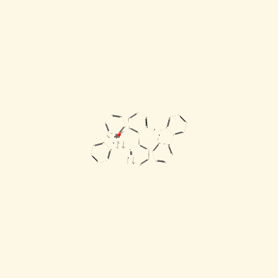 N#Cc1cccc(-n2c3ccccc3c3ccccc32)c1-c1cccnc1-n1c2ccccc2c2ccccc21